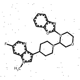 Cn1cc(C2CCN(C3COCCN3c3nc4ccccc4o3)CC2)c2ncc(F)cc21